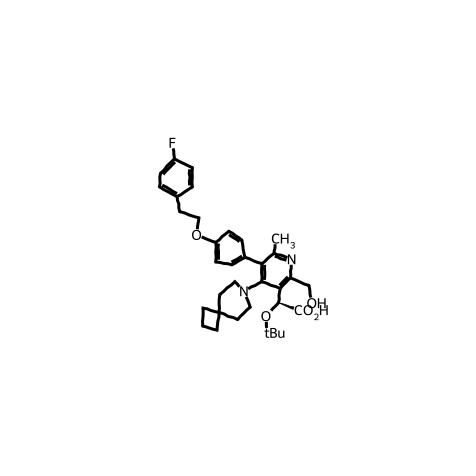 Cc1nc(CO)c([C@H](OC(C)(C)C)C(=O)O)c(N2CCC3(CCC3)CC2)c1-c1ccc(OCCc2ccc(F)cc2)cc1